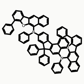 c1ccc(-c2cccc3c2oc2c(N(c4ccccc4)c4ccc5c(c4)C(c4ccccc4)(c4ccccc4)c4cc(N(c6ccccc6)c6c7ccccc7cc7c6oc6c(-c8ccccc8)cccc67)c6ccccc6c4-5)c4ccccc4cc23)cc1